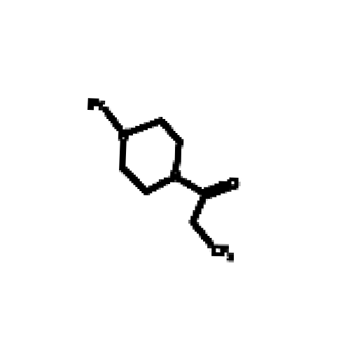 CC(C)N1CCN(C(=O)CC(F)(F)F)CC1